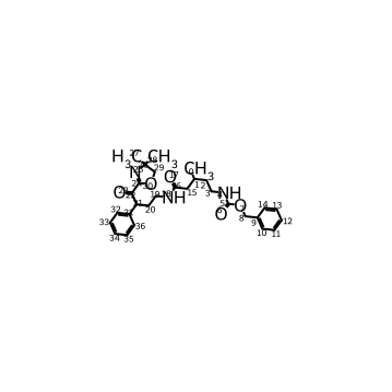 CC(CCNC(=O)OCc1ccccc1)CC(=O)NCCC(C(=O)C1=NC(C)(C)CO1)c1ccccc1